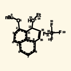 CCCCOc1ccc2cccc3c2c1C([OH+]CC)C=C3.F[B-](F)(F)F